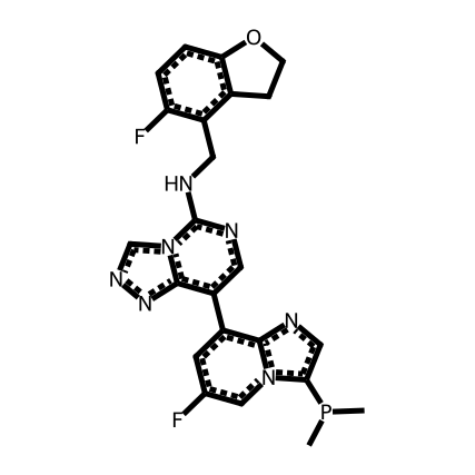 CP(C)c1cnc2c(-c3cnc(NCc4c(F)ccc5c4CCO5)n4cnnc34)cc(F)cn12